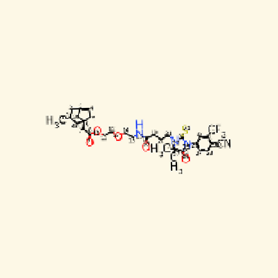 CC1CC2=CCC(CC(=O)OCCOCCNC(=O)CCCN3C(=S)N(c4ccc(C#N)c(C(F)(F)F)c4)C(=O)C3(C)C)(C2)C1